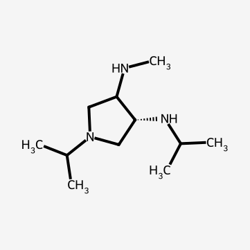 CNC1CN(C(C)C)C[C@H]1NC(C)C